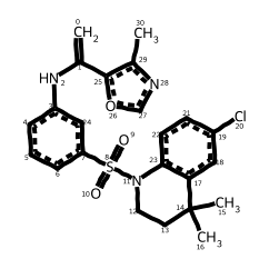 C=C(Nc1cccc(S(=O)(=O)N2CCC(C)(C)c3cc(Cl)ccc32)c1)c1ocnc1C